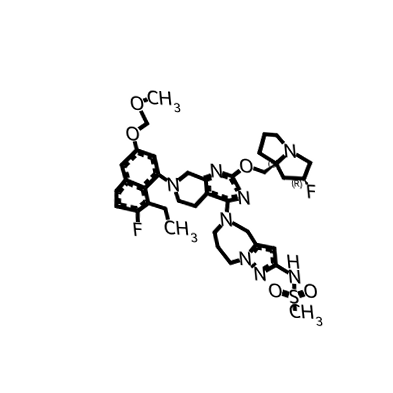 CCc1c(F)ccc2cc(OCOC)cc(N3CCc4c(nc(OC[C@@]56CCCN5C[C@H](F)C6)nc4N4CCCn5nc(NS(C)(=O)=O)cc5C4)C3)c12